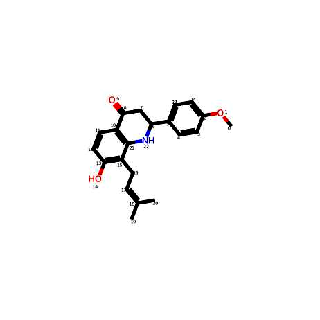 COc1ccc(C2CC(=O)c3ccc(O)c(CC=C(C)C)c3N2)cc1